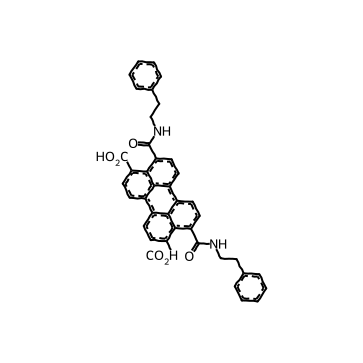 O=C(O)c1ccc2c3ccc(C(=O)O)c4c(C(=O)NCCc5ccccc5)ccc(c5ccc(C(=O)NCCc6ccccc6)c1c25)c43